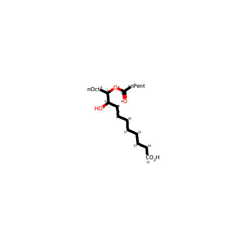 CCCCCCCCC(OC(=O)CCCCC)C(O)CCCCCCCC(=O)O